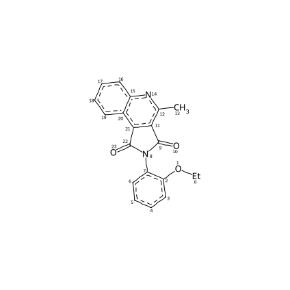 CCOc1ccccc1N1C(=O)c2c(C)nc3ccccc3c2C1=O